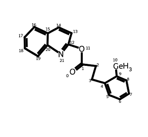 O=C(CCc1cccc[c]1[GeH3])Oc1ccc2ccccc2n1